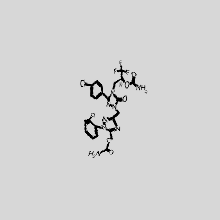 NC(=O)OCc1nc(Cn2nc(-c3ccc(Cl)cc3)n(C[C@H](OC(N)=O)C(F)(F)F)c2=O)nn1-c1ccccc1Cl